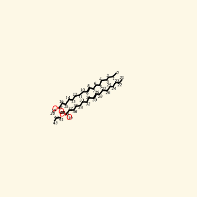 CCCCCCCCC=CCCCCCCCC(=O)OC.CCCCCCCCC=CCCCCCCCC(=O)OCCC